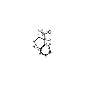 CC1(C(=O)O)CCOc2ccccc21